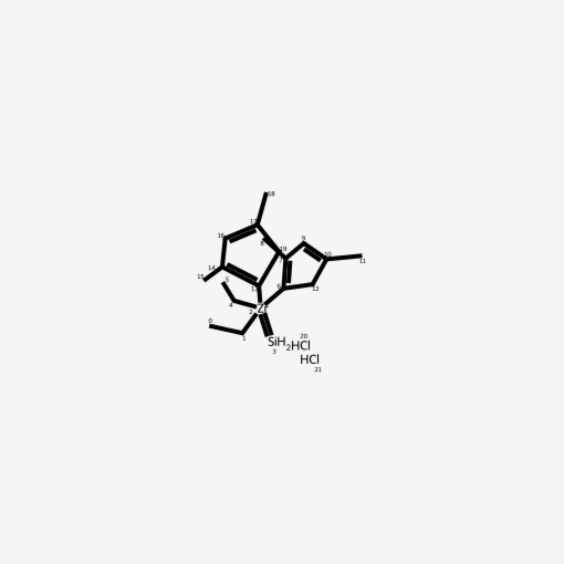 C[CH2][Zr](=[SiH2])([CH2]C)([C]1=C(C)C=C(C)C1)[C]1=C(C)C=C(C)C1.Cl.Cl